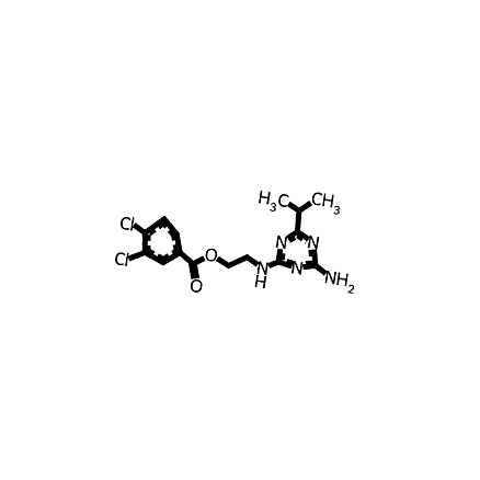 CC(C)c1nc(N)nc(NCCOC(=O)c2ccc(Cl)c(Cl)c2)n1